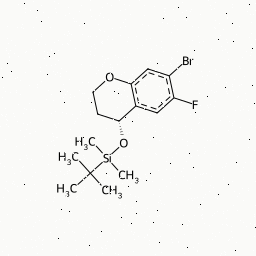 CC(C)(C)[Si](C)(C)O[C@@H]1CCOc2cc(Br)c(F)cc21